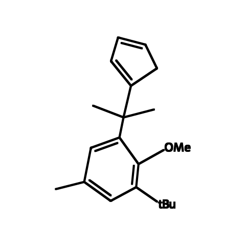 COc1c(C(C)(C)C)cc(C)cc1C(C)(C)C1=CC=CC1